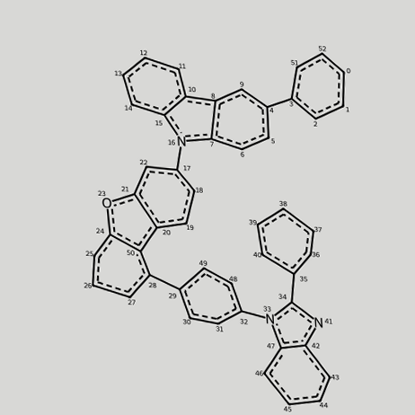 c1ccc(-c2ccc3c(c2)c2ccccc2n3-c2ccc3c(c2)oc2cccc(-c4ccc(-n5c(-c6ccccc6)nc6ccccc65)cc4)c23)cc1